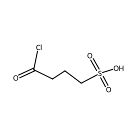 O=C(Cl)CCCS(=O)(=O)O